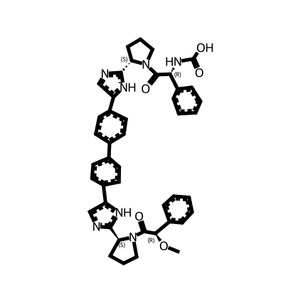 CO[C@@H](C(=O)N1CCC[C@H]1c1ncc(-c2ccc(-c3ccc(-c4cnc([C@@H]5CCCN5C(=O)[C@H](NC(=O)O)c5ccccc5)[nH]4)cc3)cc2)[nH]1)c1ccccc1